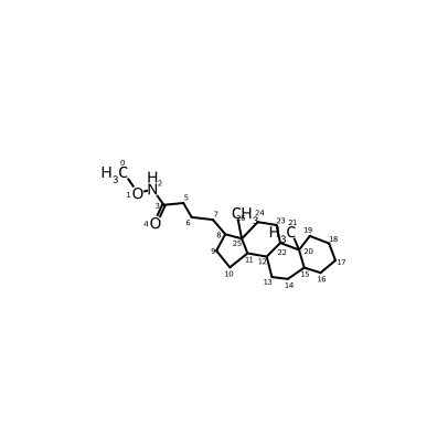 CONC(=O)CCCC1CCC2C3CCC4CCCCC4(C)C3CCC12C